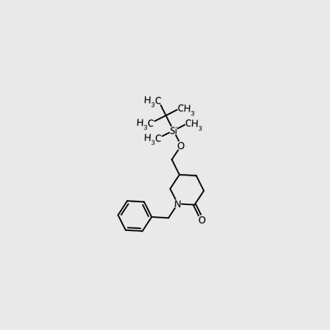 CC(C)(C)[Si](C)(C)OCC1CCC(=O)N(Cc2ccccc2)C1